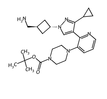 CC(C)(C)OC(=O)N1CCN(c2cccnc2-c2cn([C@H]3C[C@H](CN)C3)nc2C2CC2)CC1